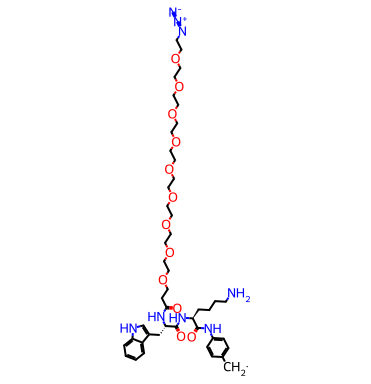 [CH2]c1ccc(NC(=O)[C@H](CCCCN)NC(=O)[C@H](Cc2c[nH]c3ccccc23)NC(=O)CCOCCOCCOCCOCCOCCOCCOCCOCCOCCN=[N+]=[N-])cc1